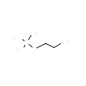 COCCN[N+](C)(C)C